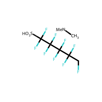 CNC.O=S(=O)(O)C(F)(F)C(F)(F)C(F)(F)C(F)(F)CF